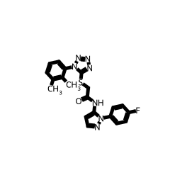 Cc1cccc(-n2nnnc2SCC(=O)Nc2ccnn2-c2ccc(F)cc2)c1C